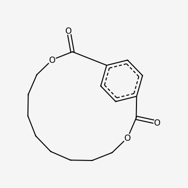 O=C1OCCCCCCCCOC(=O)c2ccc1cc2